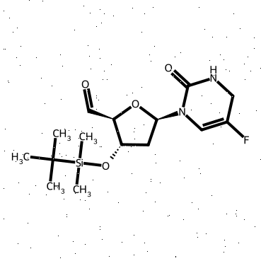 CC(C)(C)[Si](C)(C)O[C@H]1C[C@H](N2C=C(F)CNC2=O)O[C@@H]1C=O